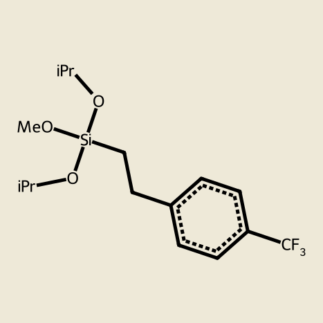 CO[Si](CCc1ccc(C(F)(F)F)cc1)(OC(C)C)OC(C)C